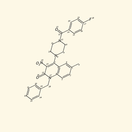 Cc1ccc2c(c1)c(N1CCN(C(=O)c3ccc(F)cc3)CC1)c([N+](=O)[O-])c(=O)n2Cc1ccccc1